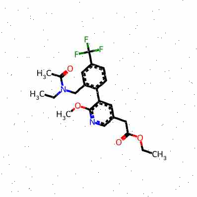 CCOC(=O)Cc1cnc(OC)c(-c2ccc(C(F)(F)F)cc2CN(CC)C(C)=O)c1